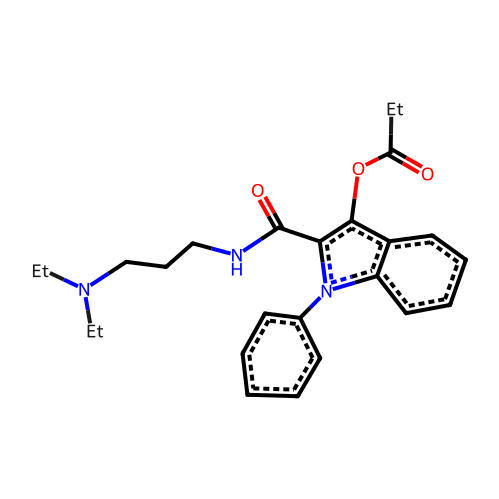 CCC(=O)Oc1c(C(=O)NCCCN(CC)CC)n(-c2ccccc2)c2ccccc12